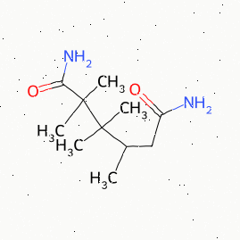 CC(CC(N)=O)C(C)(C)C(C)(C)C(N)=O